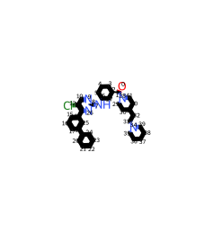 O=C([C@@H]1CCC[C@H](Nc2ncc(Cl)c(-c3cccc(-c4ccccc4)c3)n2)C1)N1CCC(CCN2CCCCC2)CC1